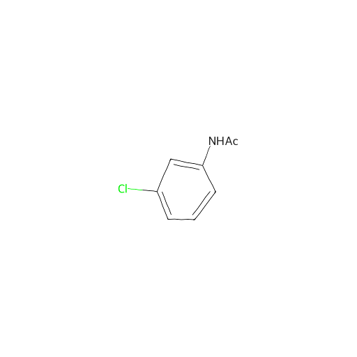 [CH2]C(=O)Nc1cccc(Cl)c1